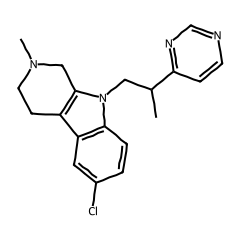 CC(Cn1c2c(c3cc(Cl)ccc31)CCN(C)C2)c1ccncn1